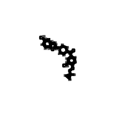 CC1(COc2ccc(C(=O)N3CCN(c4nc5nc(Cl)ccc5o4)CC3)cc2Cl)CC1